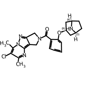 Cc1nc2c3c(nn2c(C)c1Cl)CN(C(=O)c1ccccc1O[C@H]1C[C@H]2CC[C@@H](C1)N2)C3